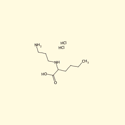 CCCCC(NCCCN)C(=O)O.Cl.Cl